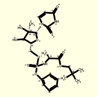 C[C@H](NP(=O)(OC[C@H]1O[C@@H](n2ccc(=O)[nH]c2=S)[C@](C)(O)C1O)Oc1ccccc1)C(=O)OCC(C)(C)C